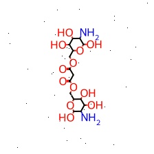 NC1C(O)OC(COC(=O)CC(=O)OCC2OC(O)C(N)C(O)C2O)C(O)C1O